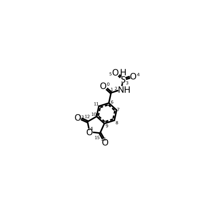 O=C(N[SH](=O)=O)c1ccc2c(c1)C(=O)OC2=O